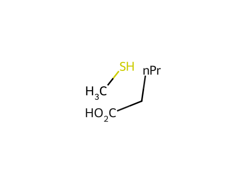 CCCCC(=O)O.CS